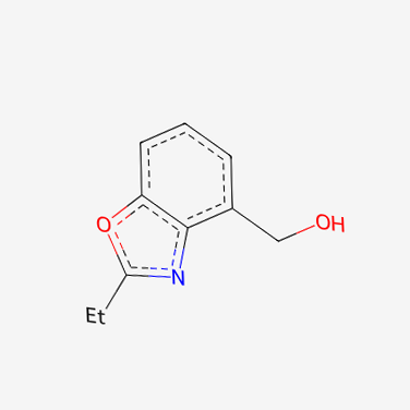 CCc1nc2c(CO)cccc2o1